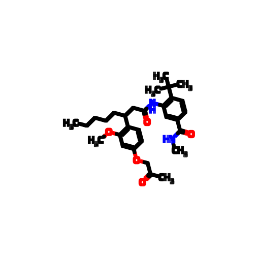 CCCCCC(CC(=O)Nc1cc(C(=O)NC)ccc1C(C)(C)C)c1ccc(OCC(C)=O)cc1OC